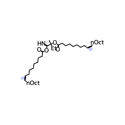 CCCCCCCC/C=C\CCCCCCCC(=O)OC(=N)C(C)(CC)OC(=O)CCCCCCC/C=C\CCCCCCCC